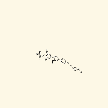 CCCCCc1ccc(-c2ccc(-c3cc(F)c(/C=C/C(F)(F)F)c(F)c3)c(F)c2)cc1